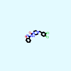 O=C(NC1=NOC2C=CC=CC12)N1CCN(Cc2ccc(Cl)c(Cl)c2)CC1